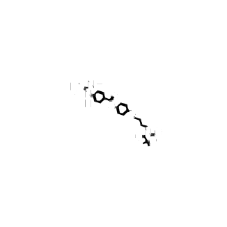 CC1(C)OC(=O)N(CCCCSc2ccc(OC(=O)c3ccc(NC(=N)N)cc3)cc2)C1=O